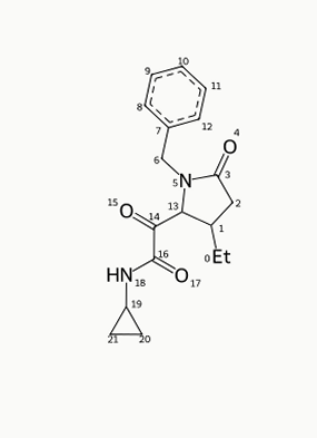 CCC1CC(=O)N(Cc2ccccc2)C1C(=O)C(=O)NC1CC1